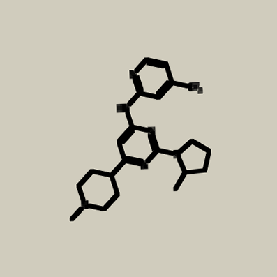 CC1CCCN1c1nc(Nc2cc(C(F)(F)F)ccn2)cc(C2CCN(C)CC2)n1